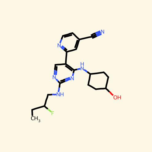 CCC(F)CNc1ncc(-c2cc(C#N)ccn2)c(NC2CCC(O)CC2)n1